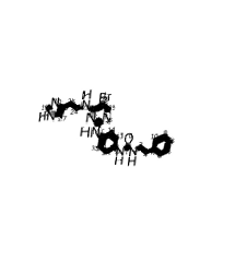 O=C(NCCc1ccccc1)Nc1ccc(Nc2ncc(Br)c(NCCc3c[nH]cn3)n2)cc1